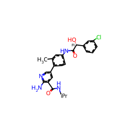 Cc1cc(NC(=O)[C@H](O)c2cccc(Cl)c2)ccc1-c1cnc(N)c(C(=O)NC(C)C)c1